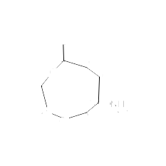 CC1CCSSC[C@@H](N)CC1